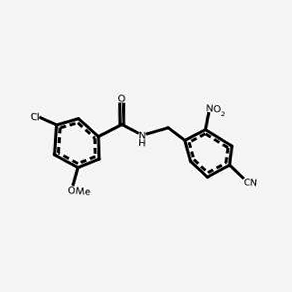 COc1cc(Cl)cc(C(=O)NCc2ccc(C#N)cc2[N+](=O)[O-])c1